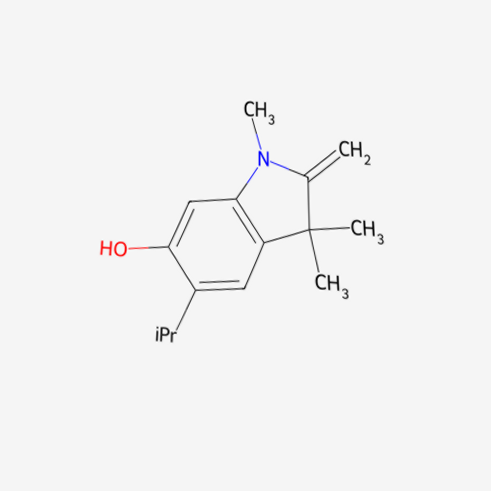 C=C1N(C)c2cc(O)c(C(C)C)cc2C1(C)C